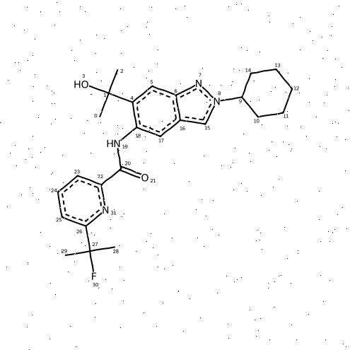 CC(C)(O)c1cc2nn(C3CCCCC3)cc2cc1NC(=O)c1cccc(C(C)(C)F)n1